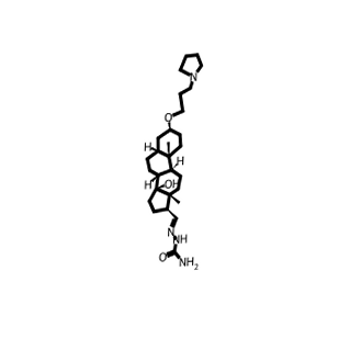 C[C@]12CC[C@H](OCCCN3CCCC3)C[C@H]1CC[C@@H]1[C@@H]2CC[C@]2(C)[C@@H](/C=N/NC(N)=O)CC[C@]12O